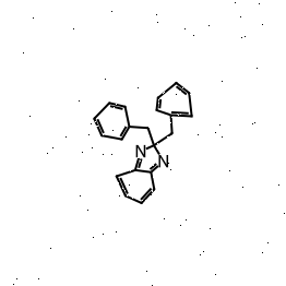 c1ccc(CC2(Cc3ccccc3)N=c3ccccc3=N2)cc1